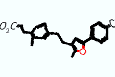 CCOC(=O)CCc1ccc(CCc2cc(-c3ccc(C(F)(F)F)cc3)oc2C)cc1C